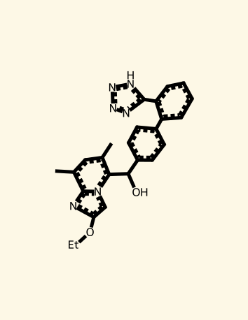 CCOc1cn2c(C(O)c3ccc(-c4ccccc4-c4nnn[nH]4)cc3)c(C)cc(C)c2n1